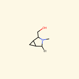 CCC1C2CC2C(CO)N1C